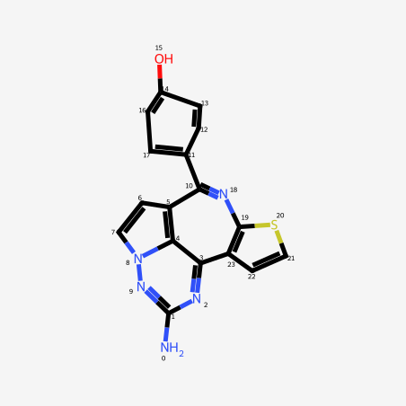 Nc1nc2c3c(ccn3n1)C(c1ccc(O)cc1)=Nc1sccc1-2